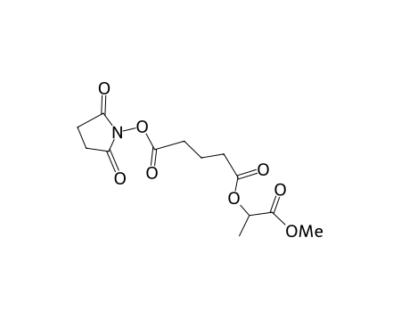 COC(=O)C(C)OC(=O)CCCC(=O)ON1C(=O)CCC1=O